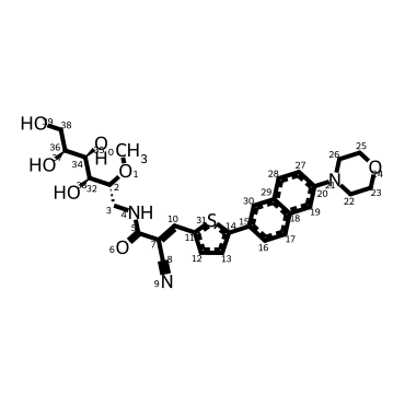 CO[C@H](CNC(=O)/C(C#N)=C/c1ccc(-c2ccc3cc(N4CCOCC4)ccc3c2)s1)[C@@H](O)[C@H](O)[C@@H](O)CO